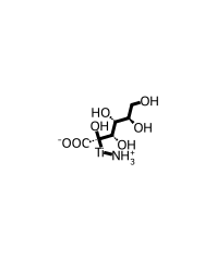 [NH3+][Ti][C@](O)(C(=O)[O-])[C@@H](O)[C@H](O)[C@H](O)CO